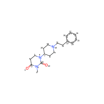 CN1C(=O)CCN(C2CCN(CCc3ccccc3)CC2)C1=O